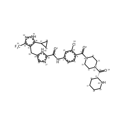 O=C(Nc1ccc(C(=O)N2CCN(C(=O)[C@H]3CCCCN3)CC2)c(Cl)c1)c1ncc(Cc2c(C(F)(F)F)n[nH]c2C2CC2)[nH]1